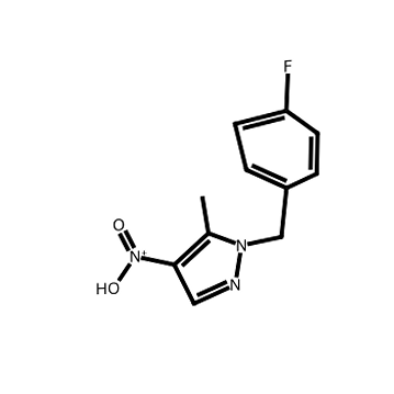 Cc1c([N+](=O)O)cnn1Cc1ccc(F)cc1